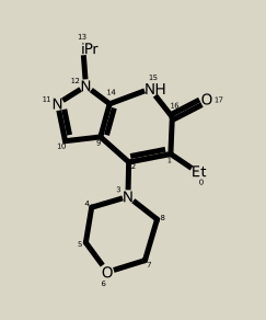 CCc1c(N2CCOCC2)c2cnn(C(C)C)c2[nH]c1=O